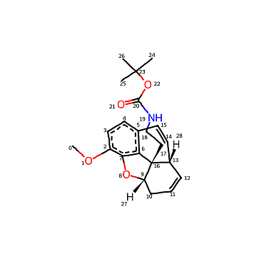 COc1ccc2c3c1O[C@H]1CC=C[C@@H](C=C2)[C@@]31CCNC(=O)OC(C)(C)C